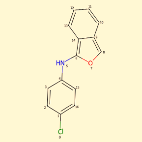 Clc1ccc(Nc2occ3ccccc23)cc1